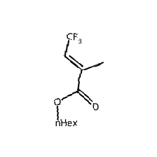 CCCCCCOC(=O)C(C)=CC(F)(F)F